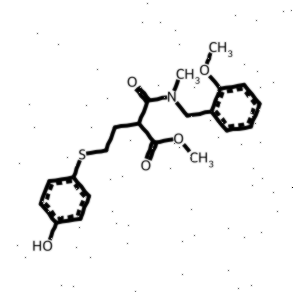 COC(=O)C(CCSc1ccc(O)cc1)C(=O)N(C)Cc1ccccc1OC